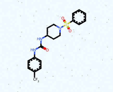 O=C(Nc1ccc(C(F)(F)F)cc1)NC1CCN(S(=O)(=O)c2ccccc2)CC1